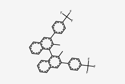 Cc1c(-c2ccc(C(F)(F)F)cc2)cc2ccccc2c1-c1c(C)c(-c2ccc(C(F)(F)F)cc2)cc2ccccc12